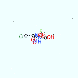 O=NC(=O)c1cc(C(=O)NC(Cc2ccc(O)cc2)C(=O)OCF)nc2ccc(CCc3ccc(Cl)cc3)cc12